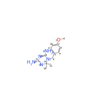 COc1ccc(CN2C(N)=NC(N)=NC2(C)C)cc1